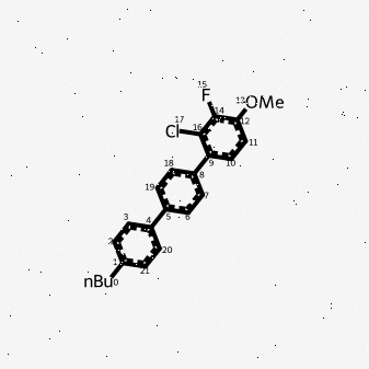 CCCCc1ccc(-c2ccc(-c3ccc(OC)c(F)c3Cl)cc2)cc1